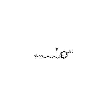 CCCCCCCCCCCCCC[n+]1ccc(CC)cc1.[F-]